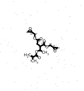 C=C(C)C(=O)OC(C)C(CC(=O)OCC1CO1)C(=O)OCC1CO1